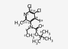 CCN(C(=O)OC(C)(C)C)c1c(C)nc(Cl)c(Cl)c1I